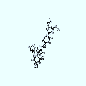 CCSc1nc(-c2ccc(OC[C@@H]3CO[C@@](Cn4ccnc4)(c4ccc(Cl)cc4Cl)O3)cc2)cn1CC